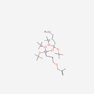 C=C(C)COCCC[Si](O[Si](C)(C)C)(O[Si](C)(C)C)O[Si](CCCOC(C)=O)(O[Si](C)(C)C)O[Si](C)(C)C